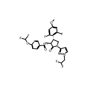 COc1cc(F)c([C@@H]2CN(c3ccn(CC(F)F)n3)C(=O)C2NC(=O)c2ccc(OC(F)F)cc2)c(F)c1